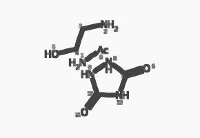 CC(N)=O.NCCO.O=c1[nH][nH]c(=O)[nH]1